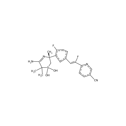 CC1(C)C(N)=N[C@](C)(c2cc(/C=C(\F)c3ccc(C#N)cn3)ccc2F)CS1(O)O